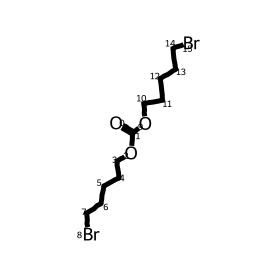 O=C(OCCCCCBr)OCCCCCBr